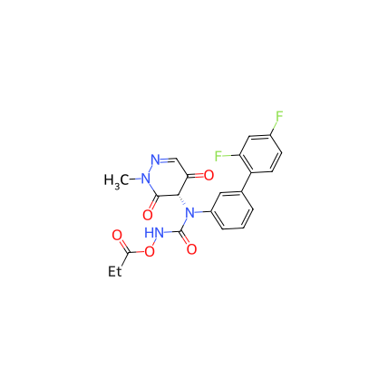 CCC(=O)ONC(=O)N(c1cccc(-c2ccc(F)cc2F)c1)[C@H]1C(=O)C=NN(C)C1=O